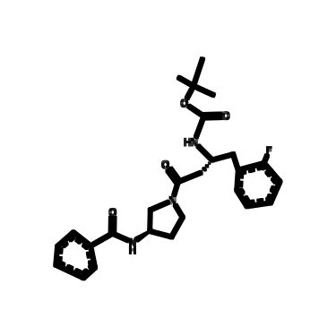 CC(C)(C)OC(=O)N[C@@H](CC(=O)N1CC[C@@H](NC(=O)c2ccccc2)C1)Cc1ccccc1F